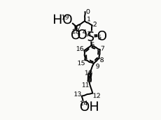 CC(CS(=O)(=O)c1ccc(C#CCCO)cc1)C(=O)O